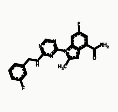 Cc1cc2c(C(N)=O)cc(F)cc2n1-c1ncnc(NCc2cccc(F)c2)n1